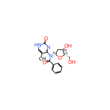 Cc1c[nH]c(=O)nc1N(C(=O)c1ccccc1)[C@@H]1C[C@@H](O)[C@H](CO)O1